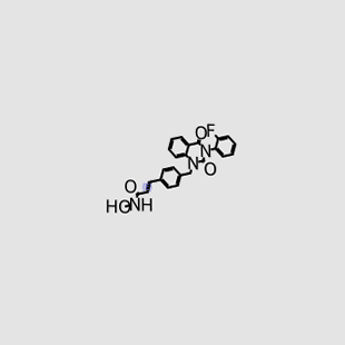 O=C(/C=C/c1ccc(Cn2c(=O)n(-c3ccccc3F)c(=O)c3ccccc32)cc1)NO